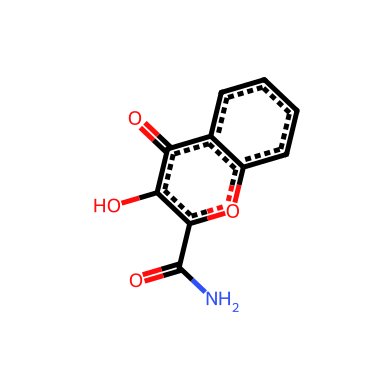 NC(=O)c1oc2ccccc2c(=O)c1O